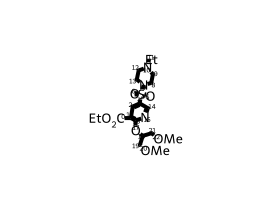 CCOC(=O)c1cc(S(=O)(=O)N2CCN(CC)CC2)cnc1OC(COC)COC